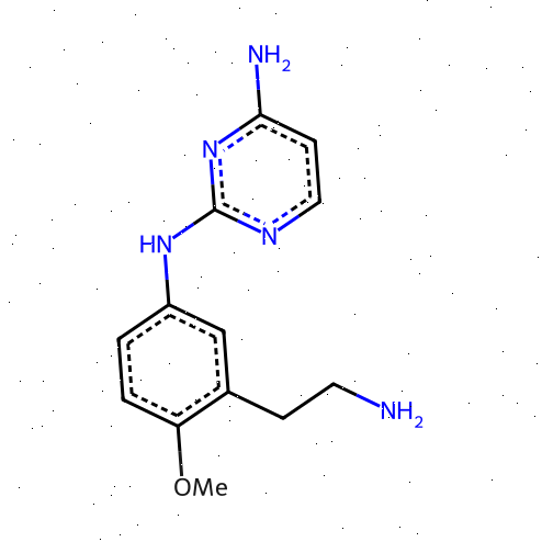 COc1ccc(Nc2nccc(N)n2)cc1CCN